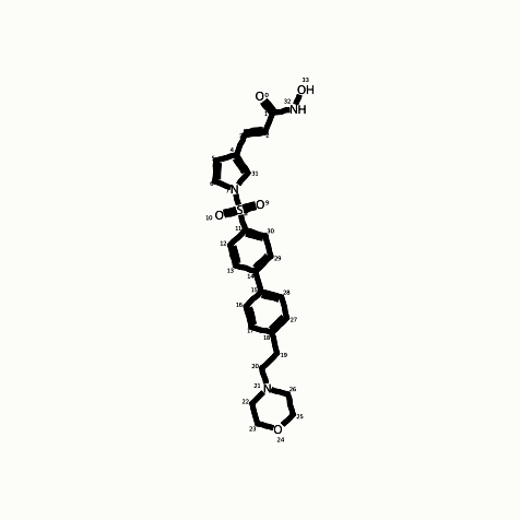 O=C(C=Cc1ccn(S(=O)(=O)c2ccc(-c3ccc(CCN4CCOCC4)cc3)cc2)c1)NO